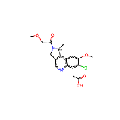 COCC(=O)N1Cc2cnc3c(CC(=O)O)c(Cl)c(OC)cc3c2[C@@H]1C